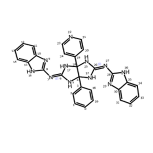 c1ccc(C23N/C(=N/c4nc5ccccc5[nH]4)NC2(c2ccncc2)N/C(=N/c2nc4ccccc4[nH]2)N3)cc1